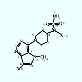 CN(C1CCN(c2ncnc3c(Br)cn(C)c23)CC1)S(N)(=O)=O